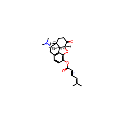 CC[C@]12c3c4ccc(OC(=O)/C=C/C=C(C)C)c3O[C@H]1C(=O)CC[C@H]2[C@H](N(C)C)C4